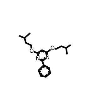 CC(C)CCOc1cc(OCCC(C)C)nc(-c2ccccc2)n1